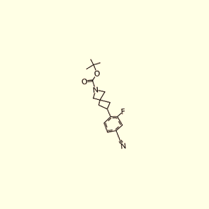 CC(C)(C)OC(=O)N1CC2(CC(c3ccc(C#N)cc3F)C2)C1